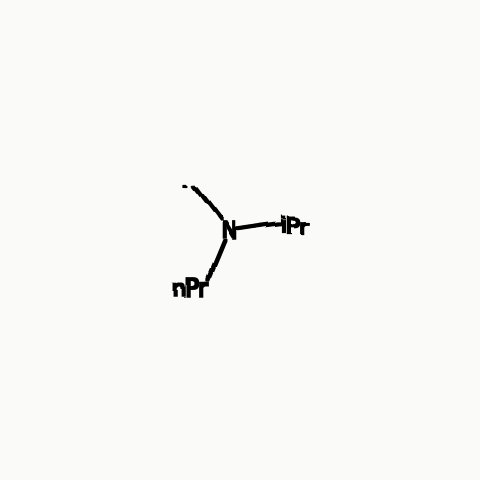 [CH2]N(CCC)C(C)C